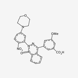 COc1cc(C(=O)O)cc(-c2nn(-c3cc(N4CCOCC4)ccc3[N+](=O)[O-])c(=O)c3ccccc23)c1